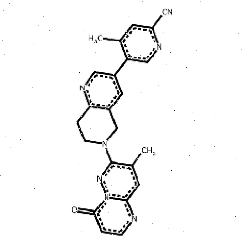 Cc1cc(C#N)ncc1-c1cnc2c(c1)CN(c1nn3c(=O)ccnc3cc1C)CC2